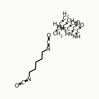 C=C.C=C.C=C.C=C.N=C=O.N=C=O.O=C=NCCCCCN=C=O